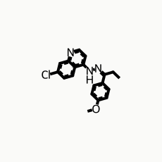 CCC(=NNc1ccnc2cc(Cl)ccc12)c1ccc(OC)cc1